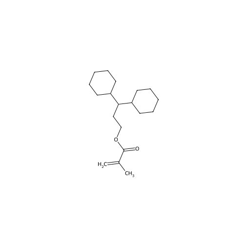 C=C(C)C(=O)OCCC(C1CCCCC1)C1CCCCC1